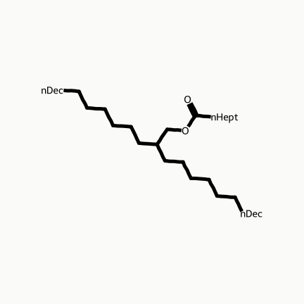 CCCCCCCCCCCCCCCCC(CCCCCCCCCCCCCCCC)COC(=O)CCCCCCC